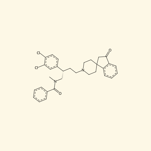 CN(C[C@@H](CCN1CCC2(CC1)CC(=O)c1ccccc12)c1ccc(Cl)c(Cl)c1)C(=O)c1ccccc1